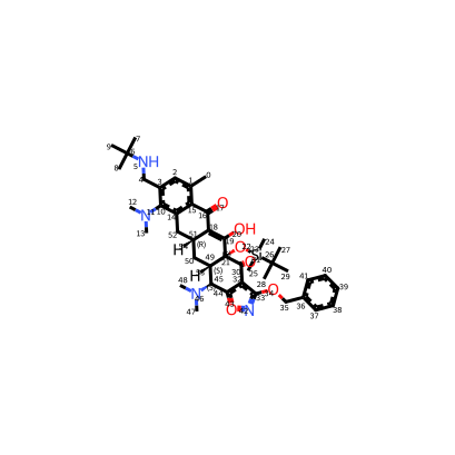 Cc1cc(CNC(C)(C)C)c(N(C)C)c2c1C(=O)C1=C(O)[C@]3(O[Si](C)(C)C(C)(C)C)C(=O)c4c(OCc5ccccc5)noc4[C@@H](N(C)C)[C@@H]3C[C@@H]1C2